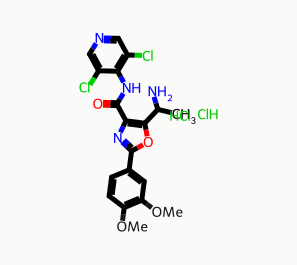 COc1ccc(-c2nc(C(=O)Nc3c(Cl)cncc3Cl)c(C(C)N)o2)cc1OC.Cl.Cl